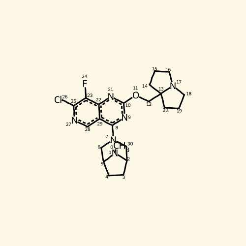 CN1C2CCC1CN(c1nc(OCC34CCCN3CCC4)nc3c(F)c(Cl)ncc13)C2